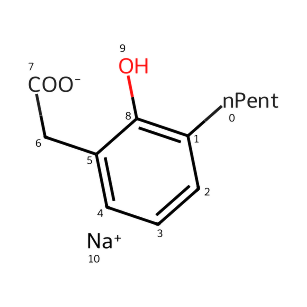 CCCCCc1cccc(CC(=O)[O-])c1O.[Na+]